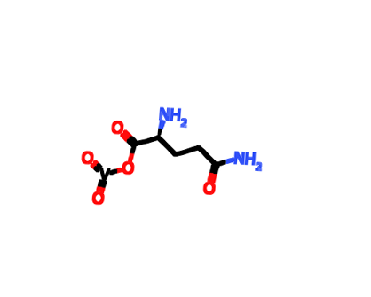 NC(=O)CC[C@H](N)C(=O)[O][V](=[O])=[O]